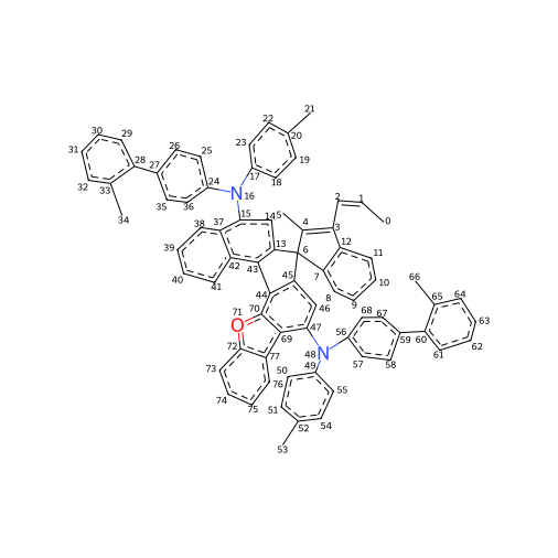 C/C=C\C1=C(C)C2(c3ccccc31)c1cc(N(c3ccc(C)cc3)c3ccc(-c4ccccc4C)cc3)c3ccccc3c1-c1c2cc(N(c2ccc(C)cc2)c2ccc(-c3ccccc3C)cc2)c2c1oc1ccccc12